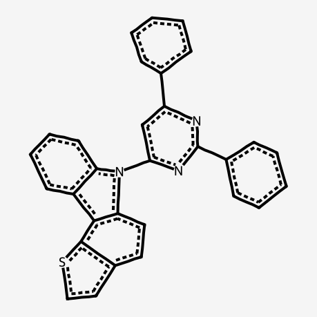 c1ccc(-c2cc(-n3c4ccccc4c4c5sccc5ccc43)nc(-c3ccccc3)n2)cc1